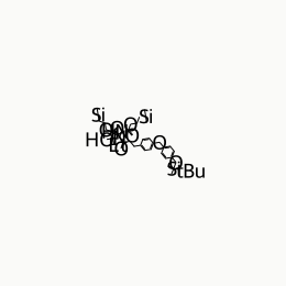 CC[C@@](O)(C(=O)OCC[Si](C)(C)C)N(NC(=O)OCC[Si](C)(C)C)C(=O)CCc1ccc(Oc2ccc(O[Si](C)(C)C(C)(C)C)cc2)cc1